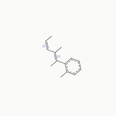 C/C=C\C(C)=C(/C)c1ccccc1C